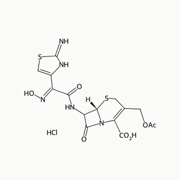 CC(=O)OCC1=C(C(=O)O)N2C(=O)C(NC(=O)C(=NO)c3csc(=N)[nH]3)[C@@H]2SC1.Cl